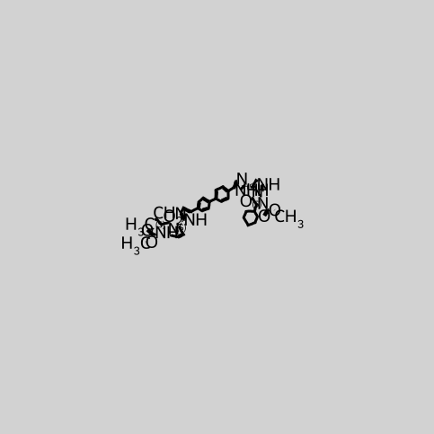 C=C(C)[C@H](NC(=O)OC)C(=O)N1CC=C[C@H]1c1ncc(-c2ccc(-c3ccc(-c4cnc([C@@H]5CNCN5C(=O)[C@@H](NC(=O)OC)C5CCCCC5)[nH]4)cc3)cc2)[nH]1